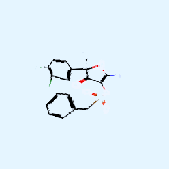 [2H][C@@]1(c2ccc(F)c(F)c2)OC(N)=C(OS(=O)(=O)Cc2ccccc2)C1=O